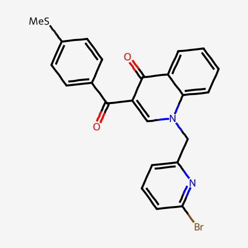 CSc1ccc(C(=O)c2cn(Cc3cccc(Br)n3)c3ccccc3c2=O)cc1